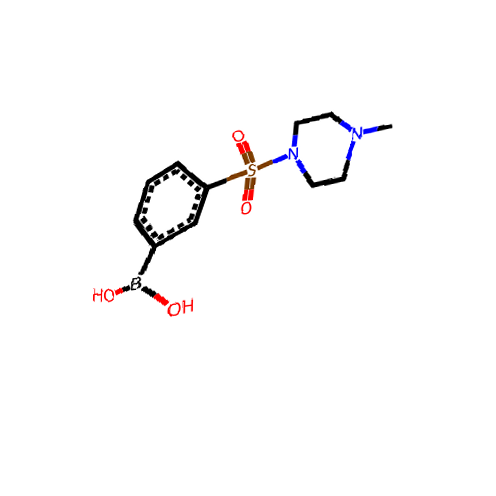 CN1CCN(S(=O)(=O)c2cccc(B(O)O)c2)CC1